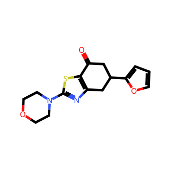 O=C1CC(c2ccco2)Cc2nc(N3CCOCC3)sc21